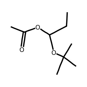 CCC(OC(C)=O)OC(C)(C)C